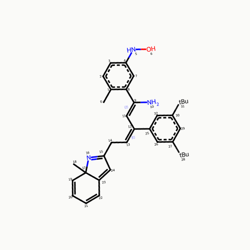 Cc1ccc(NO)cc1/C(N)=C/C(=C\CC1=NC2(C)C=CC=CC2=C1)c1cc(C(C)(C)C)cc(C(C)(C)C)c1